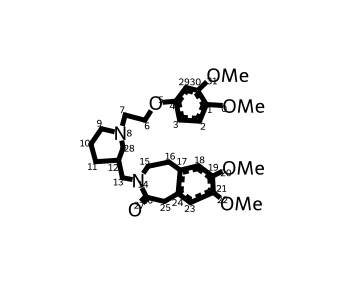 COc1ccc(OCCN2CCCC(CN3CCc4cc(OC)c(OC)cc4CC3=O)C2)cc1OC